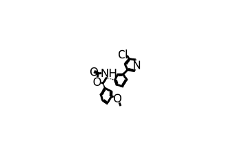 COc1cccc([C@H]2OC(=O)N[C@@H]2c2cccc(-c3cncc(Cl)c3)c2)c1